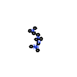 c1ccc(-c2nc(-c3ccccc3)nc(-c3ccnc(-c4cccc5c4c4ccccc4n5-c4cccc(-c5ccc6c7ccccc7n(-c7ccccc7)c6c5)c4)c3)n2)cc1